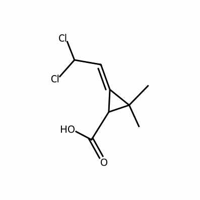 CC1(C)/C(=C/C(Cl)Cl)C1C(=O)O